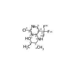 C[C@@H](O)[C@@H](C)Nc1nc(Cl)ncc1C(F)(F)F